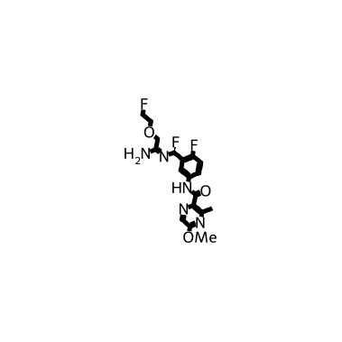 COc1cnc(C(=O)Nc2ccc(F)c([C@@H](F)/N=C(/N)COCCF)c2)c(C)n1